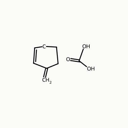 C=C1C=CCCC1.O=C(O)O